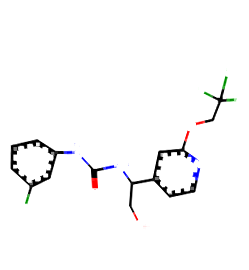 O=C(Nc1cccc(Cl)c1)NC(CO)c1ccnc(OCC(F)(F)F)c1